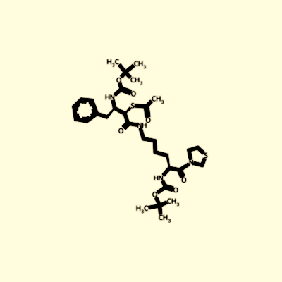 CC(=O)S[C@@H](C(=O)NCCCC[C@H](NC(=O)OC(C)(C)C)C(=O)N1CCSC1)[C@@H](Cc1ccccc1)NC(=O)OC(C)(C)C